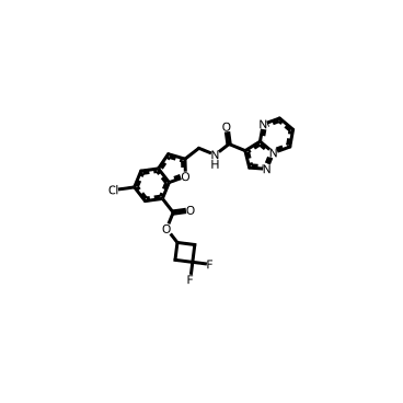 O=C(OC1CC(F)(F)C1)c1cc(Cl)cc2cc(CNC(=O)c3cnn4cccnc34)oc12